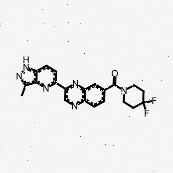 Cc1n[nH]c2ccc(-c3cnc4ccc(C(=O)N5CCC(F)(F)CC5)cc4n3)nc12